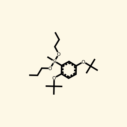 CCCO[Si](C)(OCCC)c1cc(OC(C)(C)C)ccc1OC(C)(C)C